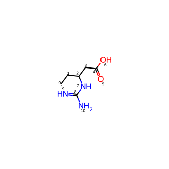 [CH2]CC(CC(=O)O)NC(=N)N